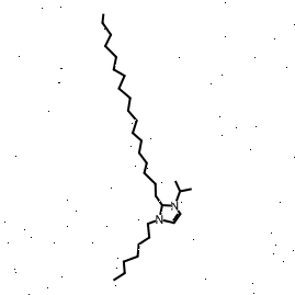 CCCCCCCCCCCCCCCCCCC1N(CCCCCCC)C=CN1C(C)C